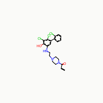 C=CC(=O)N1CCN(CCNc2cc(-c3ccccc3Cl)c(Cl)c(Cl)c2O)CC1